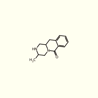 CC1CN2C(=O)c3ccccc3CC2CN1